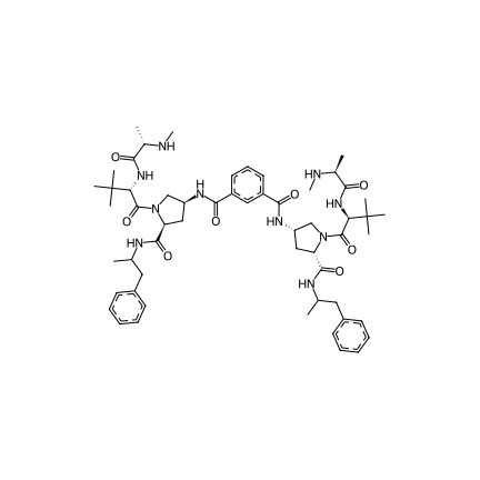 CN[C@@H](C)C(=O)N[C@H](C(=O)N1C[C@@H](NC(=O)c2cccc(C(=O)N[C@H]3C[C@@H](C(=O)NC(C)Cc4ccccc4)N(C(=O)[C@@H](NC(=O)[C@H](C)NC)C(C)(C)C)C3)c2)C[C@H]1C(=O)NC(C)Cc1ccccc1)C(C)(C)C